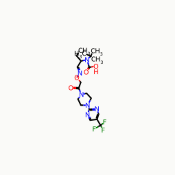 CCC(C=NOCC(=O)N1CCN(c2ncc(C(F)(F)F)cn2)CC1)N(C(=O)O)C(C)(C)C